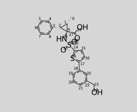 C[C@H]1[C@@H](c2ccccc2)[C@@]1(NS(=O)(=O)c1ccc(-c2cccc(CO)c2)s1)C(=O)O